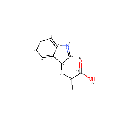 CC(CC1C=NC2=CCCC=C21)C(=O)O